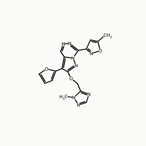 Cc1cc(-c2nncc3c(-c4ccco4)c(OCc4ncnn4C)nn23)no1